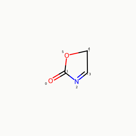 O=C1N=[C][CH]O1